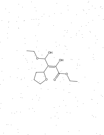 CCOC(=O)/C(O)=C(/C(O)OCC)C1CCCO1